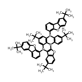 CC(C)(C)c1ccc2c(c1)N(c1cccc3c1oc1ccc(C(C)(C)C)cc13)c1cc(C(C)(C)C)cc3c1B2c1oc2ccc(C(C)(C)C)cc2c1N3c1cccc2c1oc1ccc(C(C)(C)C)cc12